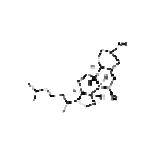 CC(C)CCC[C@@H](C)[C@H]1CC[C@H]2[C@@H]3[C@H](Br)C=C4CC(O)CC[C@]4(C)[C@H]3CC[C@]12C